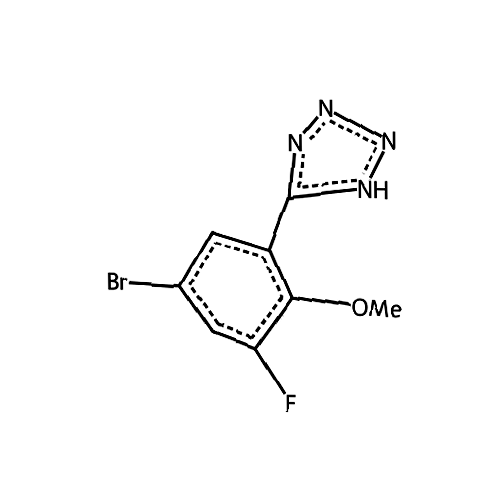 COc1c(F)cc(Br)cc1-c1nnn[nH]1